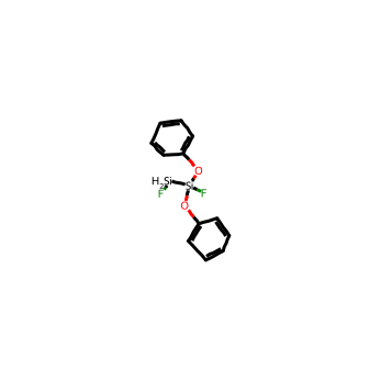 F[SiH2][Si](F)(Oc1ccccc1)Oc1ccccc1